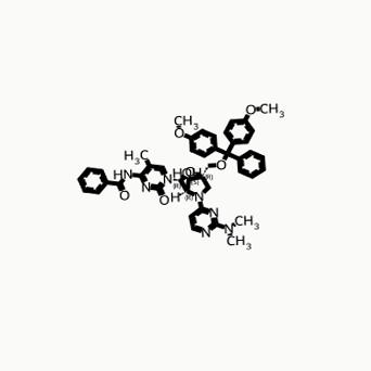 COc1ccc(C(OC[C@@]23CN(c4ccnc(N(C)C)n4)[C@@H]([C@H](n4cc(C)c(NC(=O)c5ccccc5)nc4=O)O2)[C@@H]3O)(c2ccccc2)c2ccc(OC)cc2)cc1